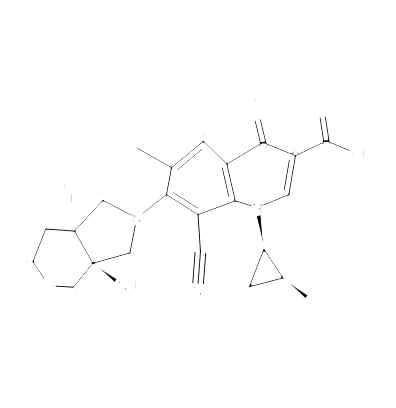 N#Cc1c(N2C[C@@H]3CCOC[C@@]3(N)C2)c(F)cc2c(=O)c(C(=O)O)cn([C@@H]3C[C@@H]3F)c12